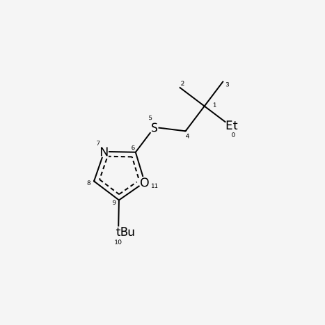 CCC(C)(C)CSc1ncc(C(C)(C)C)o1